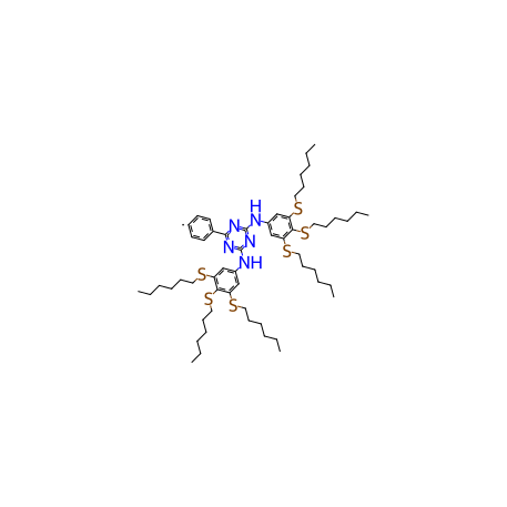 CCCCCCSc1cc(Nc2nc(Nc3cc(SCCCCCC)c(SCCCCCC)c(SCCCCCC)c3)nc(-c3cc[c]cc3)n2)cc(SCCCCCC)c1SCCCCCC